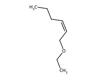 CCC/C=C\COCC